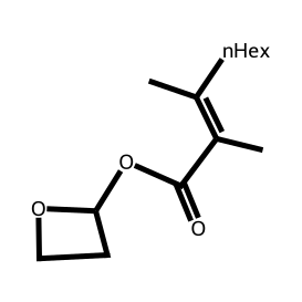 CCCCCCC(C)=C(C)C(=O)OC1CCO1